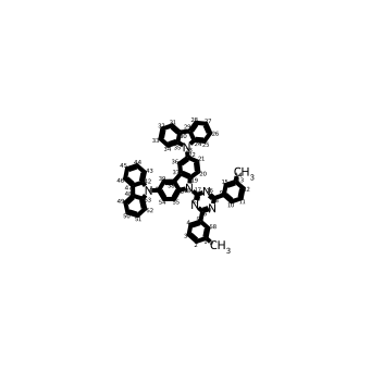 Cc1cccc(-c2nc(-c3cccc(C)c3)nc(-n3c4ccc(-n5c6ccccc6c6ccccc65)cc4c4cc(-n5c6ccccc6c6ccccc65)ccc43)n2)c1